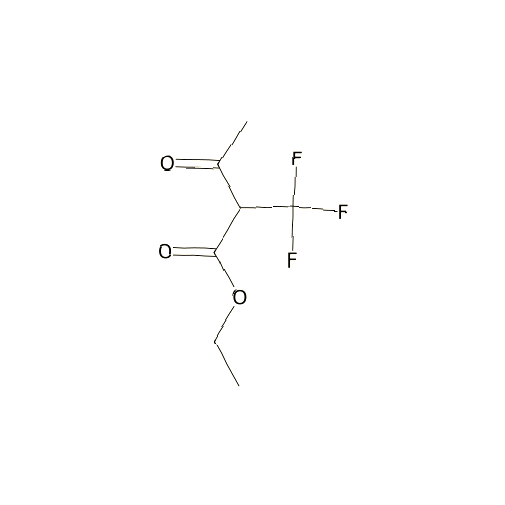 CCOC(=O)C(C(C)=O)C(F)(F)F